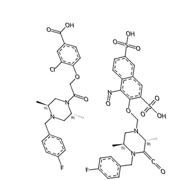 C[C@@H]1C(=C=O)N(Cc2ccc(F)cc2)[C@@H](C)CN1COc1c(S(=O)(=O)O)cc2cc(S(=O)(=O)O)ccc2c1N=O.C[C@@H]1CN(Cc2ccc(F)cc2)[C@@H](C)CN1C(=O)COc1ccc(C(=O)O)cc1Cl